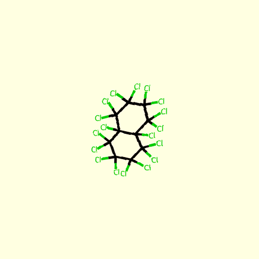 ClC1(Cl)C(Cl)(Cl)C(Cl)(Cl)C2(Cl)C(Cl)(Cl)C(Cl)(Cl)C(Cl)(Cl)C(Cl)(Cl)C2(Cl)C1(Cl)Cl